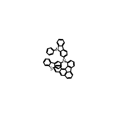 c1ccc(-n2c3ccccc3c3ccc(N(c4ccc5sc6ccccc6c5c4)c4cccc5c4-c4c6ccccc6cc6cccc-5c46)cc32)cc1